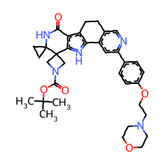 CC(C)(C)OC(=O)N1CC2(C1)c1[nH]c3c(c1C(=O)NC21CC1)CCc1cnc(-c2ccc(OCCN4CCOCC4)cc2)cc1-3